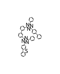 c1ccc(-c2ccc(-c3nc(-c4ccccc4)nc(-c4cccc(-c5cccc(-c6nc(-c7ccccc7)nc(-c7ccc8c(c7)sc7ccccc78)n6)c5)c4)n3)cc2)cc1